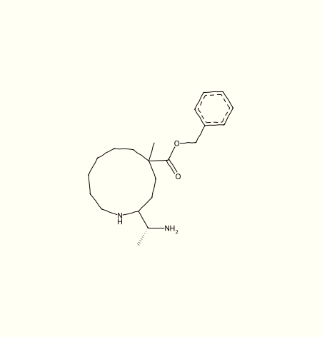 C[C@@H](N)C1CCC(C)(C(=O)OCc2ccccc2)CCCCCCN1